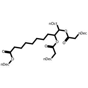 CCCCCCCCCCCC(=O)OC(CCCCCCCC)C(CCCCCCCC(=O)OCCCCCCCCCC)OC(=O)CCCCCCCCCCC